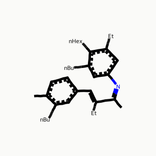 CCCCCCc1c(CC)cc(N=C(C)C(=Cc2ccc(C)c(CCCC)c2)CC)cc1CCCC